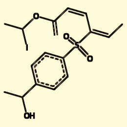 C=C(/C=C\C(=C/C)S(=O)(=O)c1ccc(C(C)O)cc1)OC(C)I